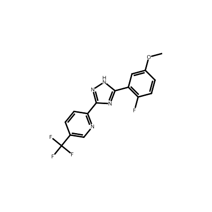 COc1ccc(F)c(-c2nc(-c3ccc(C(F)(F)F)cn3)n[nH]2)c1